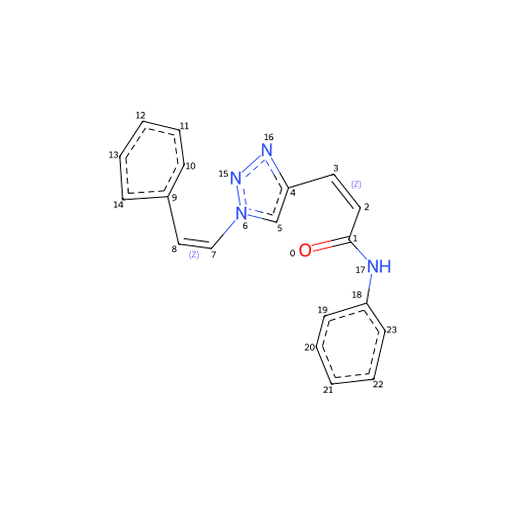 O=C(/C=C\c1cn(/C=C\c2ccccc2)nn1)Nc1ccccc1